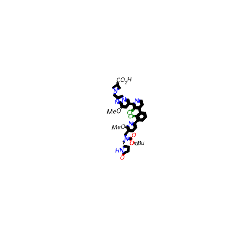 COc1nc(-c2cccc(-c3ccnc(-c4cc(OC)c5nc(CN6CC(C(=O)O)C6)cn5c4)c3Cl)c2Cl)ccc1CN(C[C@@H]1CCC(=O)N1)C(=O)OC(C)(C)C